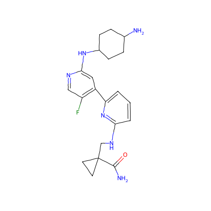 NC(=O)C1(CNc2cccc(-c3cc(NC4CCC(N)CC4)ncc3F)n2)CC1